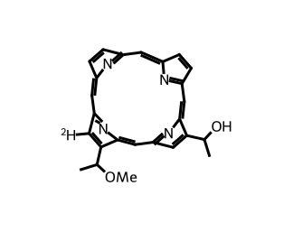 [2H]C1=C(C(C)OC)C2=CC3=NC(=CC4=NC(=CC5=NC(=CC1=N2)C=C5)C=C4)C(C(C)O)=C3